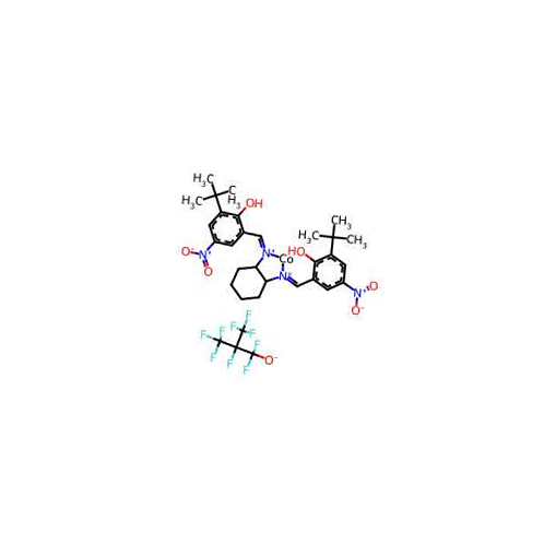 CC(C)(C)c1cc([N+](=O)[O-])cc(C=[N+]2[Co][N+](=Cc3cc([N+](=O)[O-])cc(C(C)(C)C)c3O)C3CCCCC32)c1O.[O-]C(F)(F)C(F)(C(F)(F)F)C(F)(F)F